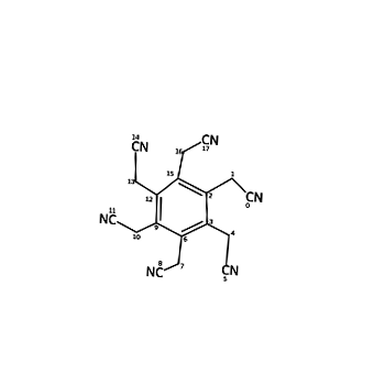 N#CCc1c(CC#N)c(CC#N)c(CC#N)c(CC#N)c1CC#N